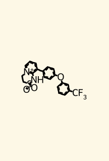 O=S1(=O)CC[n+]2cccc(-c3ccc(Oc4cccc(C(F)(F)F)c4)cc3)c2N1